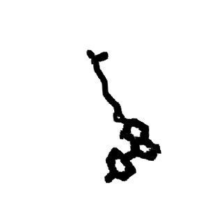 Cc1ccc(-c2cnc3ccc(OCCCCN(C)C)nn23)cc1